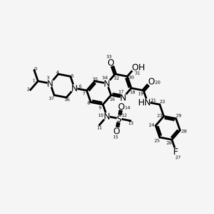 CC(C)N1CCN(c2cc(N(C)S(C)(=O)=O)c3nc(C(=O)NCc4ccc(F)cc4)c(O)c(=O)n3c2)CC1